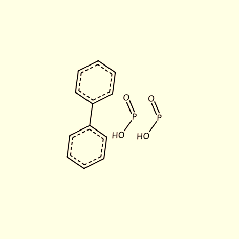 O=PO.O=PO.c1ccc(-c2ccccc2)cc1